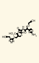 C#CCON=C(C(=O)NC1C(=O)N2C(C(=O)O)=C(CSc3nnnn3CC#C)CS[C@@H]12)c1csc(N)n1